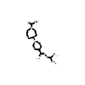 CC(=NOC(C)C)C1CCN(C2CCCN(C(=O)O)CC2)CC1